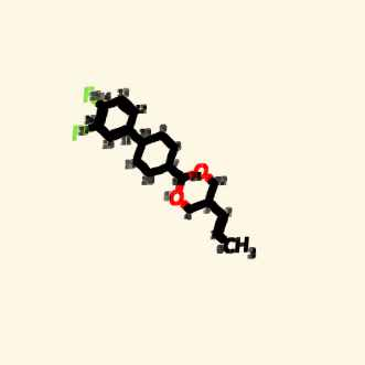 C/C=C/C1COC(C2CCC(c3ccc(F)c(F)c3)CC2)OC1